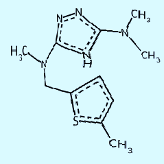 Cc1ccc(CN(C)c2nnc(N(C)C)[nH]2)s1